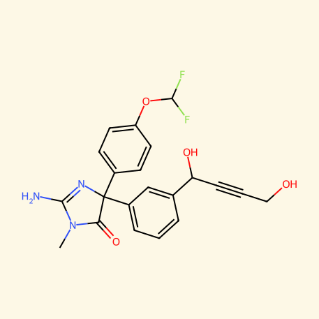 CN1C(=O)C(c2ccc(OC(F)F)cc2)(c2cccc(C(O)C#CCO)c2)N=C1N